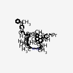 C/C1=C/C=C/C(C)C[C@@H](C)C(O)[C@@H](C)C(OC(=O)CCC(=O)N2CCC(N(C)c3ccccc3)CC2)[C@H](C)CCCC2(C)Oc3c(C)c(O)c4c(c3C2=O)C2=NC3(CCN(CC(C)C)CC3)NC2=C(NC1=O)C4=O